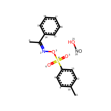 C/C(=N/OS(=O)(=O)c1ccc(C)cc1)c1ccccc1.O=NO